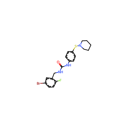 O=C(NCc1cc(Br)ccc1F)Nc1ccc(SN2CCCCC2)cc1